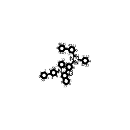 c1ccc(-c2ccc(N(c3ccccc3)c3cc4ccccc4c4oc5cc(-c6nc(-c7ccccc7)nc(-c7cccc(-c8ccccc8)c7)n6)ccc5c34)cc2)cc1